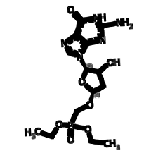 CCOP(=O)(CO[C@@H]1CC(O)[C@H](n2cnc3c(=O)[nH]c(N)nc32)O1)OCC